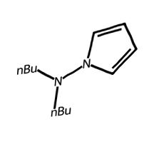 CCCCN(CCCC)n1cccc1